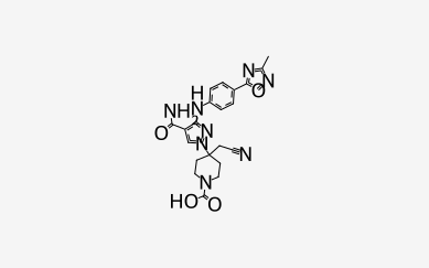 Cc1noc(-c2ccc(Nc3nn(C4(CC#N)CCN(C(=O)O)CC4)cc3C(N)=O)cc2)n1